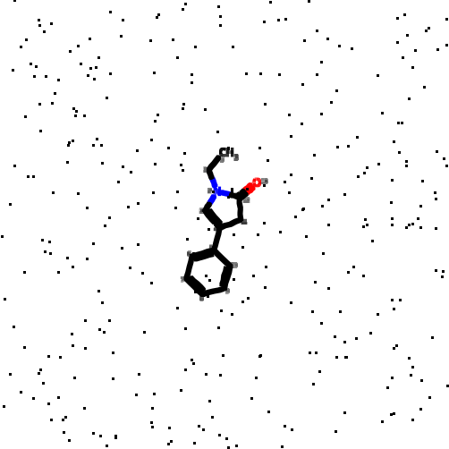 CCN1C=C(c2ccccc2)CC1=O